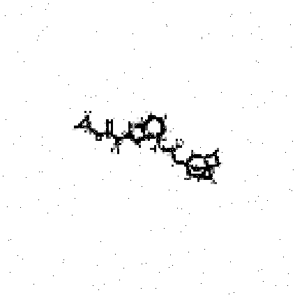 O=C(CC12CC3CC(C1)C31CC1C2)Nc1cccc2nc(C(=O)NCC3CC3)cn12